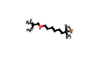 C=C(C)COCCCCCC[Si](C)(C)Br